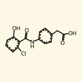 O=C(O)Cc1ccc(NC(=O)c2c(O)cccc2Cl)cc1